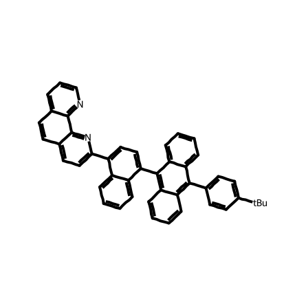 CC(C)(C)c1ccc(-c2c3ccccc3c(-c3ccc(-c4ccc5ccc6cccnc6c5n4)c4ccccc34)c3ccccc23)cc1